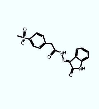 CS(=O)(=O)c1ccc(CC(=O)N/N=C2/C(=O)Nc3ccccc32)cc1